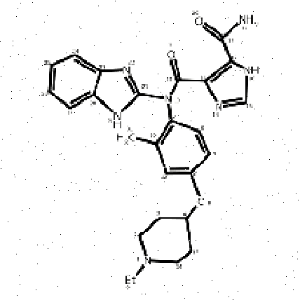 CCN1CCC(Oc2ccc(N(C(=O)c3nc[nH]c3C(N)=O)c3nc4ccccc4[nH]3)c(C)c2)CC1